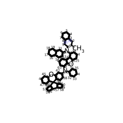 CC/C=c1/cccc/c1=C/CN(c1ccc2ccccc2c1)c1cccc2oc3c(N(c4ccccc4)c4ccc5c(c4)Oc4ccccc4C54c5ccccc5-c5ccccc54)cccc3c12